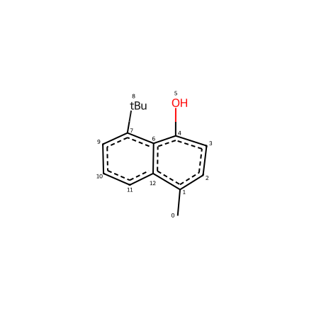 Cc1ccc(O)c2c(C(C)(C)C)cccc12